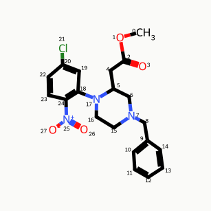 COC(=O)CC1CN(Cc2ccccc2)CCN1c1cc(Cl)ccc1[N+](=O)[O-]